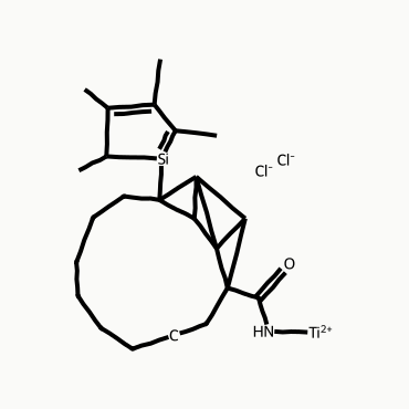 CC1=C(C)C(C)[Si](C23CCCCCCCCC4(C(=O)[NH][Ti+2])C5C46C2C536)=C1C.[Cl-].[Cl-]